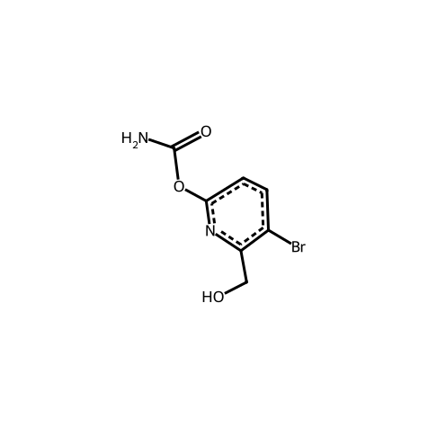 NC(=O)Oc1ccc(Br)c(CO)n1